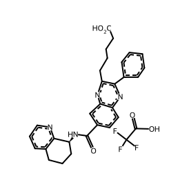 O=C(O)C(F)(F)F.O=C(O)CCCCc1nc2cc(C(=O)N[C@H]3CCCc4cccnc43)ccc2nc1-c1ccccc1